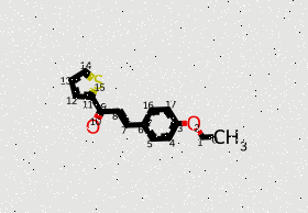 CCOc1ccc(/C=C/C(=O)c2cccs2)cc1